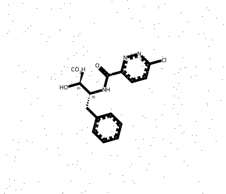 O=C(N[C@H](Cc1ccccc1)[C@@H](O)C(=O)O)c1ccc(Cl)nn1